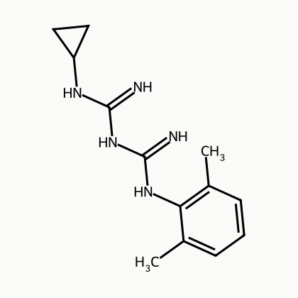 Cc1cccc(C)c1NC(=N)NC(=N)NC1CC1